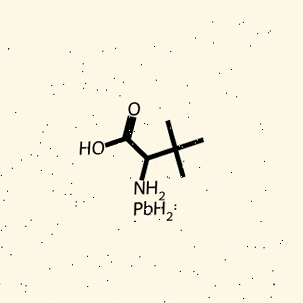 CC(C)(C)C(N)C(=O)O.[PbH2]